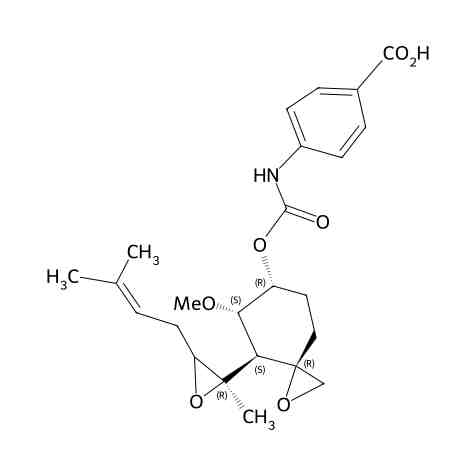 CO[C@@H]1[C@H](OC(=O)Nc2ccc(C(=O)O)cc2)CC[C@]2(CO2)[C@H]1[C@@]1(C)OC1CC=C(C)C